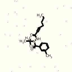 CCCCC#CC(=O)NN(C(=O)c1cccc(C)c1)C(C)(C)C